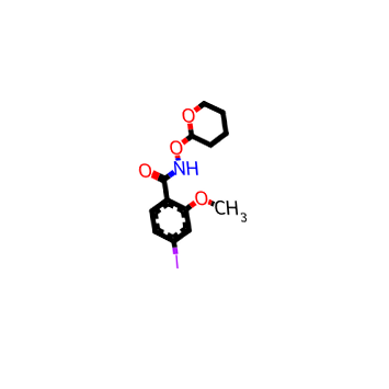 COc1cc(I)ccc1C(=O)NOC1CCCCO1